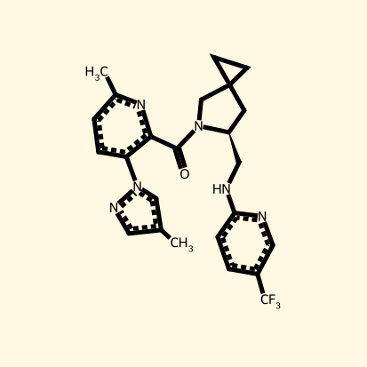 Cc1cnn(-c2ccc(C)nc2C(=O)N2CC3(CC3)C[C@H]2CNc2ccc(C(F)(F)F)cn2)c1